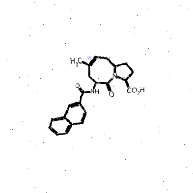 C/C1=C/CC2CCC(C(=O)O)N2C(=O)C(NC(=O)c2ccc3ccccc3c2)C1